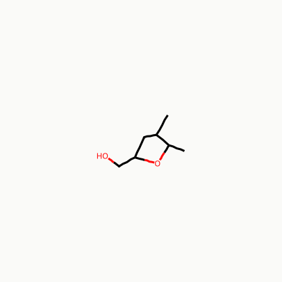 CC1CC(CO)OC1C